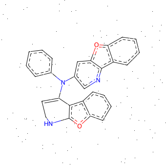 C1=C(N(c2ccccc2)c2cnc3c(c2)oc2ccccc23)c2c(oc3ccccc23)NC1